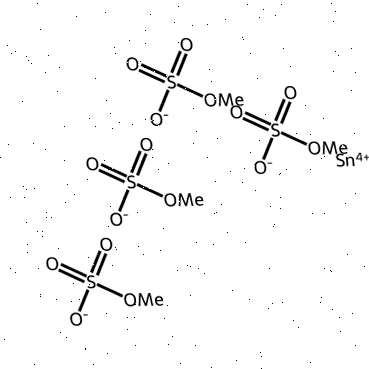 COS(=O)(=O)[O-].COS(=O)(=O)[O-].COS(=O)(=O)[O-].COS(=O)(=O)[O-].[Sn+4]